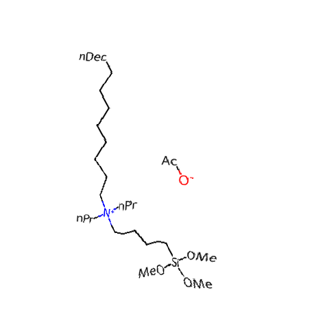 CC(=O)[O-].CCCCCCCCCCCCCCCCCC[N+](CCC)(CCC)CCCC[Si](OC)(OC)OC